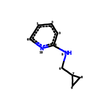 [c]1cccc(NCC2CC2)n1